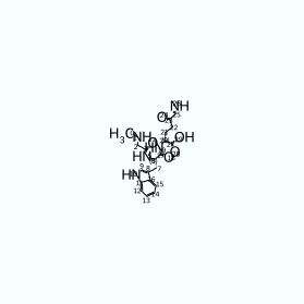 CNCC(=O)N[C@@H](Cc1c[nH]c2ccccc12)C(=O)N[C@@H](CCC(=O)C=N)C(=O)O